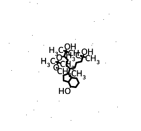 COC(C)(C)OC(CCC(CCCC(C)(C)O)C1CCC2[C@@H](O)CCC[C@]12C)C(C)(C)O